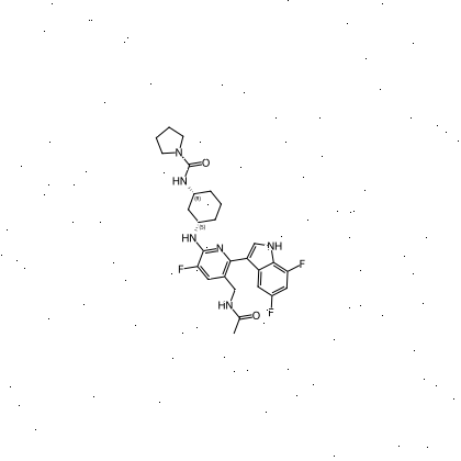 CC(=O)NCc1cc(F)c(N[C@H]2CCC[C@@H](NC(=O)N3CCCC3)C2)nc1-c1c[nH]c2c(F)cc(F)cc12